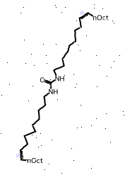 CCCCCCCC/C=C\CCCCCCCCNC(=O)NCCCCCCCC/C=C\CCCCCCCC